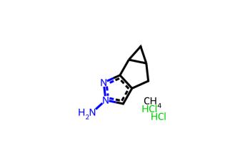 C.Cl.Cl.Nn1cc2c(n1)C1CC1C2